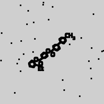 CCC(OC(=O)c1ccc(OC(=O)c2ccc(-c3ccc(C)cc3)cc2)cc1)c1ccccc1